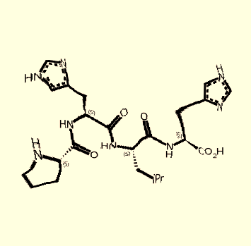 CC(C)C[C@H](NC(=O)[C@H](Cc1c[nH]cn1)NC(=O)[C@@H]1CCCN1)C(=O)N[C@@H](Cc1c[nH]cn1)C(=O)O